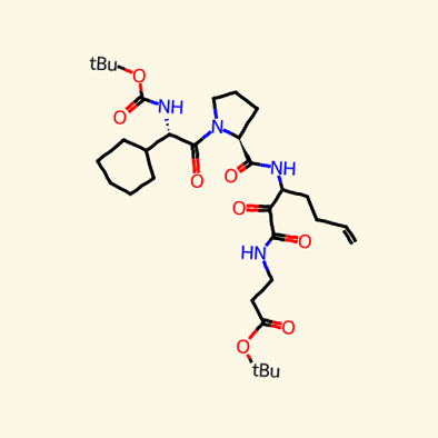 C=CCCC(NC(=O)[C@@H]1CCCN1C(=O)[C@@H](NC(=O)OC(C)(C)C)C1CCCCC1)C(=O)C(=O)NCCC(=O)OC(C)(C)C